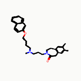 Cc1cc2c(cc1C)CC(=O)N(CCCN(C)CCCCOc1ccc3ccccc3c1)CC2